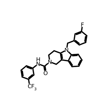 O=C(Nc1cccc(C(F)(F)F)c1)N1CCc2c(c3ccccc3n2Cc2cccc(F)c2)C1